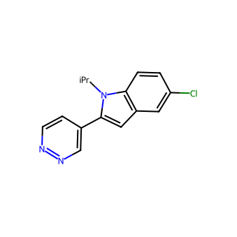 CC(C)n1c(-c2ccnnc2)cc2cc(Cl)ccc21